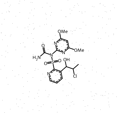 COc1cc(OC)nc(N(C(N)=O)S(=O)(=O)c2ncccc2C(O)C(C)Cl)n1